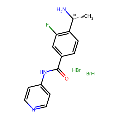 Br.Br.C[C@@H](N)c1ccc(C(=O)Nc2ccncc2)cc1F